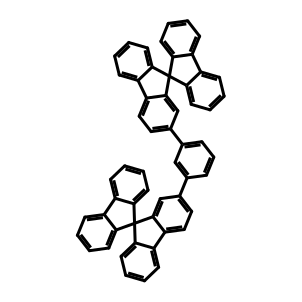 c1cc(-c2ccc3c(c2)C2(c4ccccc4-c4ccccc42)c2ccccc2-3)cc(-c2ccc3c(c2)C2(c4ccccc4-c4ccccc42)c2ccccc2-3)c1